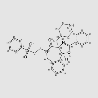 O=C1N(CCS(=O)(=O)c2ccccc2)Cc2ccccc2[C@@H]2OC(c3ccccc3)=N[C@]12CN1CCNCC1